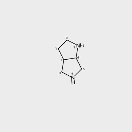 C1CC2CNC[C]2N1